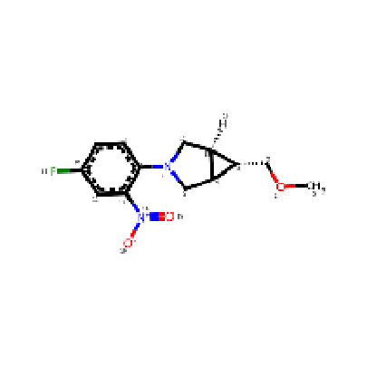 COC[C@@H]1C2CN(c3ccc(F)cc3[N+](=O)[O-])C[C@H]21